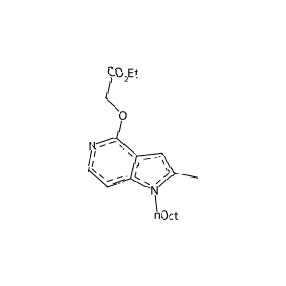 CCCCCCCCn1c(C)cc2c(OCC(=O)OCC)nccc21